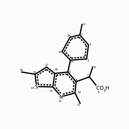 Cc1ccc(-c2c(C(C)C(=O)O)c(C)nc3sc(C)cc23)cc1